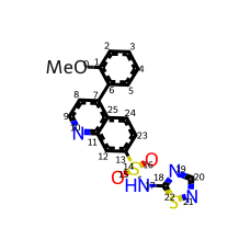 COc1ccccc1-c1ccnc2cc(S(=O)(=O)Nc3ncns3)ccc12